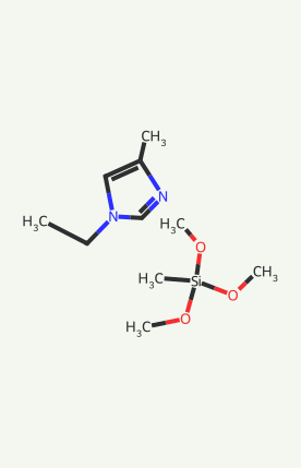 CCn1cnc(C)c1.CO[Si](C)(OC)OC